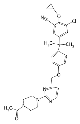 CC(=O)N1CCN(c2nccc(COc3ccc(C(C)(C)c4cc(Cl)c(OC5CC5)c(C#N)c4)cc3)n2)CC1